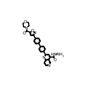 NNC(=O)c1cc(-c2ccc(-c3ccc(-c4cc(C(=O)N5CCOCC5)on4)cc3)cc2)nc2ccncc12